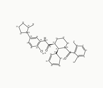 Cc1cccc(C)c1C(=O)N1CCC[C@H](C(=O)Nc2cc(N3CCCC3C)ccc2Cl)[C@@H]1C1C=CC=CC1